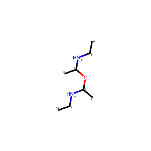 CCNC(C)OC(C)NCC